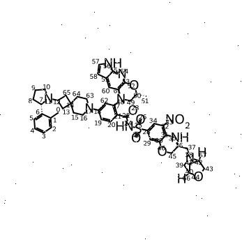 Cc1ccccc1[C@@H]1CCCN1C1CC2(CCN(c3ccc(C(=O)NS(=O)(=O)c4cc5c(c([N+](=O)[O-])c4)N[C@@H](CN4C[C@@H]6C[C@H]4CO6)CO5)c(N4C[C@@H](C)Oc5nc6[nH]ccc6cc54)c3)CC2)C1